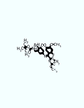 COC(=O)/N=C(SC)/C(=N/c1ccc(Br)c(CNC(=O)OC(C)(C)C)c1)c1cc(OC)c(OC)cc1F